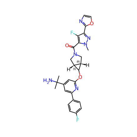 Cn1nc(-c2ncco2)c(F)c1C(=O)N1C[C@@H]2C(Oc3cc(C(C)(C)N)cc(-c4ccc(F)cc4)n3)[C@@H]2C1